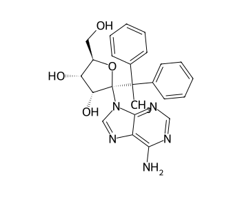 CC(c1ccccc1)(c1ccccc1)[C@@]1(n2cnc3c(N)ncnc32)O[C@H](CO)[C@@H](O)[C@H]1O